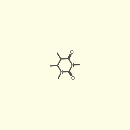 CC1C(=O)N(C)C(=O)N(C)C1C